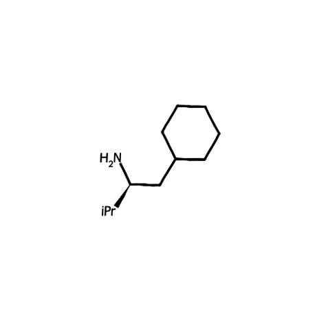 CC(C)[C@@H](N)CC1CCCCC1